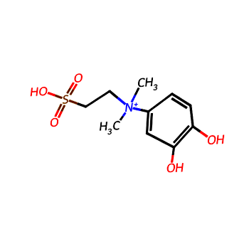 C[N+](C)(CCS(=O)(=O)O)c1ccc(O)c(O)c1